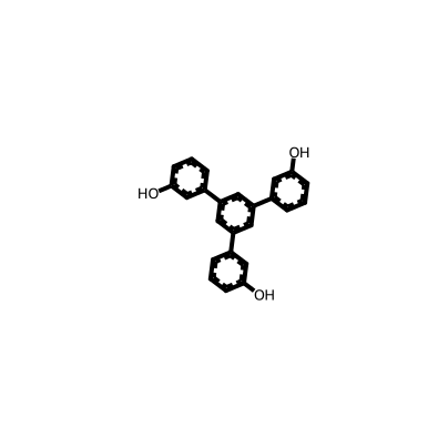 Oc1cccc(-c2cc(-c3cccc(O)c3)cc(-c3cccc(O)c3)c2)c1